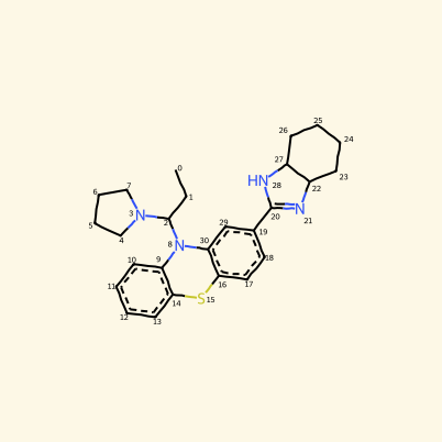 CCC(N1CCCC1)N1c2ccccc2Sc2ccc(C3=NC4CCCCC4N3)cc21